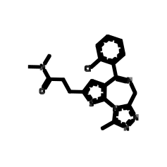 Cc1nnc2n1-c1sc(CCC(=O)N(C)C)cc1C(c1ccccc1Cl)=NC2